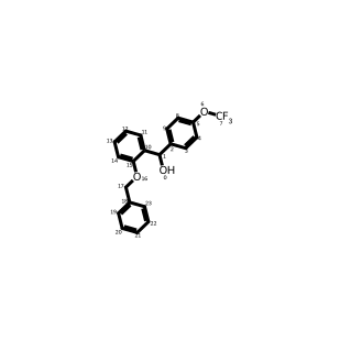 OC(c1ccc(OC(F)(F)F)cc1)c1ccccc1OCc1ccccc1